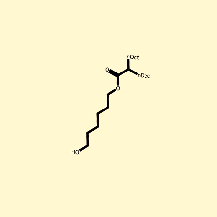 CCCCCCCCCCC(CCCCCCCC)C(=O)OCCCCCCO